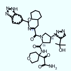 CC(C)(O)c1cnnn1[C@H]1C[C@@H](C(=O)NC2(C(=O)C(N)=O)CCOCC2)N(C(=O)/C(CC2CCCCC2)=N/C(=O)c2ccc3nn[nH]c3c2)C1